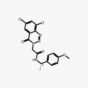 COc1ccc([C@H](C)NC(=O)Cn2nnc3c(Cl)cc(Cl)cc3c2=O)cc1